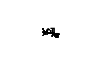 [Ag].[Cu].[In].[Ti]